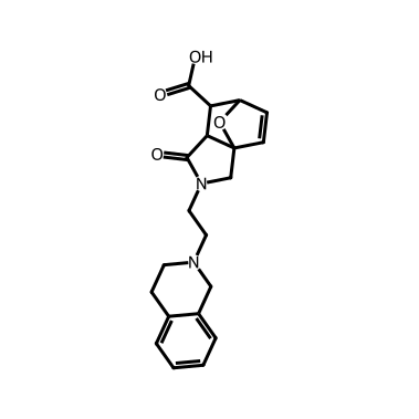 O=C(O)C1C2C=CC3(CN(CCN4CCc5ccccc5C4)C(=O)C13)O2